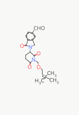 C[Si](C)(C)CCOCN1C(=O)CCC(N2Cc3cc(C=O)ccc3C2=O)C1=O